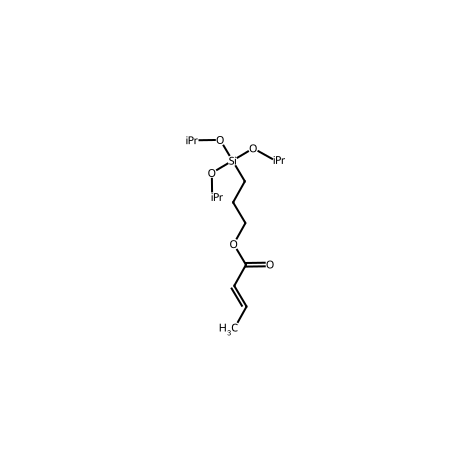 CC=CC(=O)OCCC[Si](OC(C)C)(OC(C)C)OC(C)C